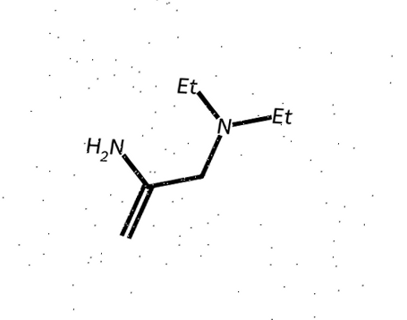 C=C(N)CN(CC)CC